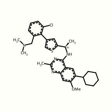 COc1cc2nc(C)nc(N[C@H](C)c3cc(-c4c(Cl)cccc4CN(C)C)cs3)c2cc1C1CCCCC1